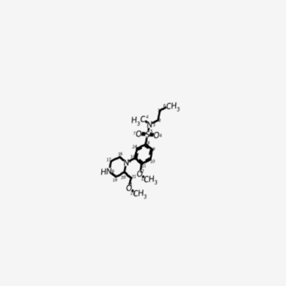 CCCN(C)S(=O)(=O)c1ccc(OC)c(N2CCNCC2COC)c1